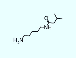 CC(C)CC(=O)NCCCCCN